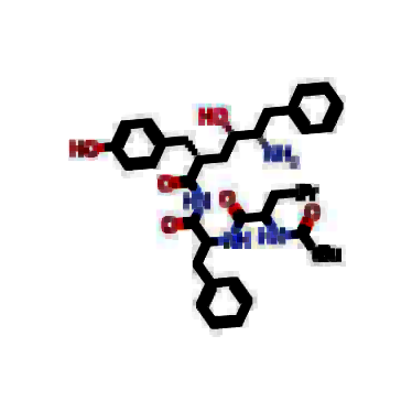 CC(C)CC(NC(=O)C(C)(C)C)C(=O)NC(Cc1ccccc1)C(=O)NC(=O)[C@H](Cc1ccc(O)cc1)C[C@H](O)[C@@H](N)Cc1ccccc1